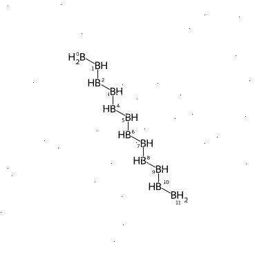 BBBBBBBBBBBB